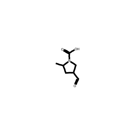 CC1CC(C=O)CN1C(=O)O